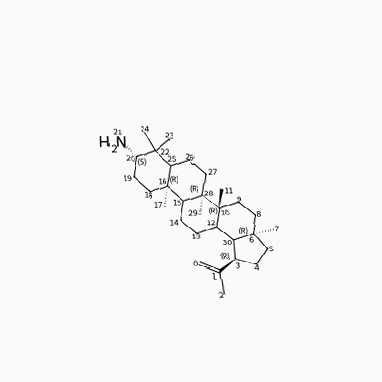 C=C(C)[C@@H]1CC[C@]2(C)CC[C@]3(C)C(CCC4[C@@]5(C)CC[C@H](N)C(C)(C)C5CC[C@]43C)C12